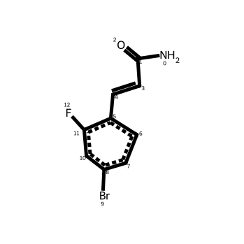 NC(=O)C=Cc1ccc(Br)cc1F